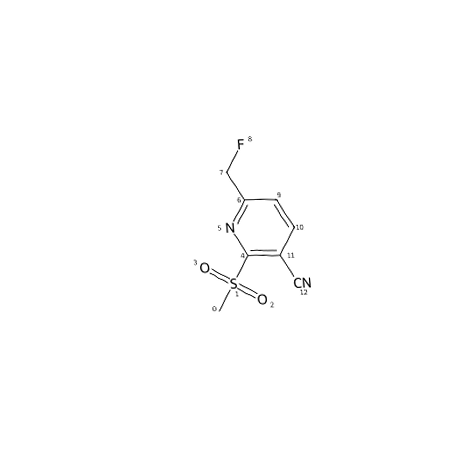 CS(=O)(=O)c1nc(CF)ccc1C#N